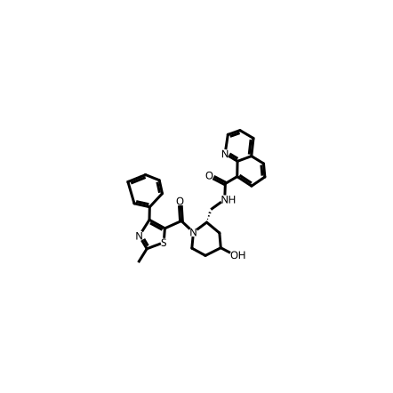 Cc1nc(-c2ccccc2)c(C(=O)N2CCC(O)C[C@H]2CNC(=O)c2cccc3cccnc23)s1